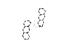 O[Si](O)(c1cccc2cc3ccccc3cc12)c1cccc2cc3ccccc3cc12